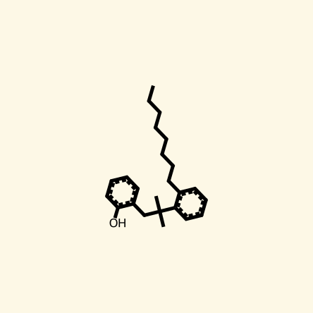 CCCCCCCCc1ccccc1C(C)(C)Cc1ccccc1O